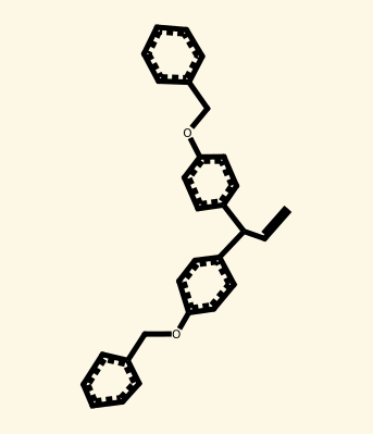 C=CC(c1ccc(OCc2ccccc2)cc1)c1ccc(OCc2ccccc2)cc1